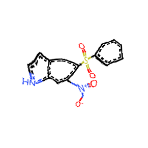 O=[N+]([O-])c1cc2[nH]ccc2cc1S(=O)(=O)c1ccccc1